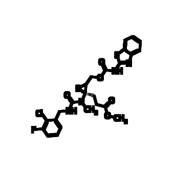 COC(=O)CC[C@]1(N(C)C(=O)NCc2cccc(F)c2Cl)SC1COC(=O)Nc1nc2ccccc2s1